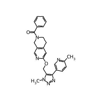 Cc1ccc(-c2nnn(C)c2COc2cc3c(cn2)CN(C(=O)c2ccccc2)CC3)cn1